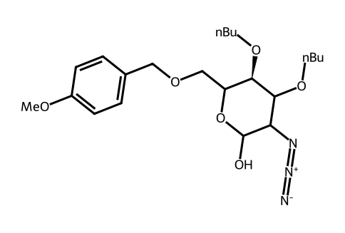 CCCCOC1C(N=[N+]=[N-])C(O)OC(COCc2ccc(OC)cc2)[C@H]1OCCCC